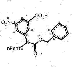 CCCCCN(C(=O)OCc1ccccc1)c1cc(C(=O)O)cc([N+](=O)[O-])c1